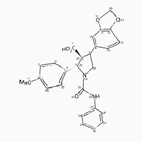 COc1ccc([C@@H]2[C@@H](C(=O)O)C(c3ccc4c(c3)OCO4)CN2C(=O)Nc2ccccc2)cc1